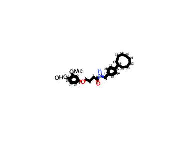 COc1cc(OCCCC(=O)NCc2ccc(C3CCCCCCCC3)cc2)ccc1C=O